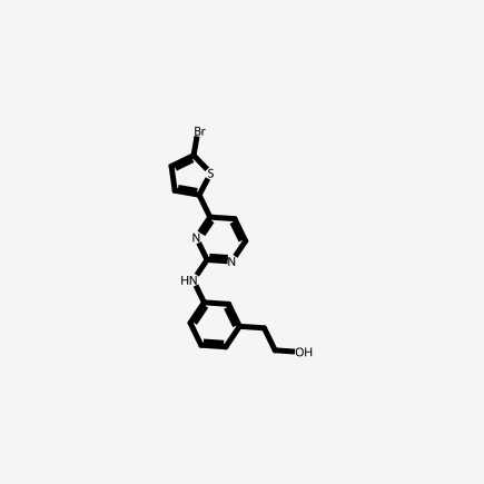 OCCc1cccc(Nc2nccc(-c3ccc(Br)s3)n2)c1